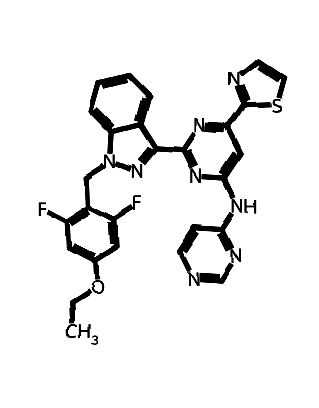 CCOc1cc(F)c(Cn2nc(-c3nc(Nc4ccncn4)cc(-c4nccs4)n3)c3ccccc32)c(F)c1